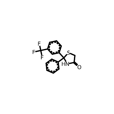 O=C1CSC(c2ccccc2)(c2cccc(C(F)(F)F)c2)N1